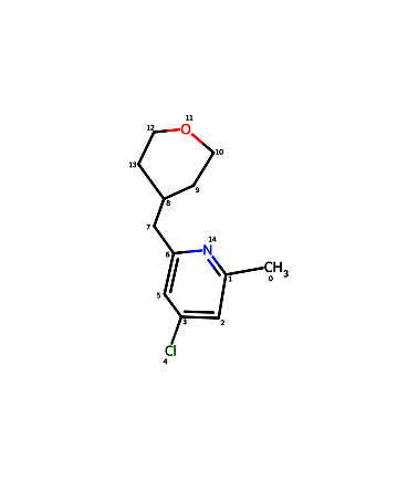 Cc1cc(Cl)cc(CC2CCOCC2)n1